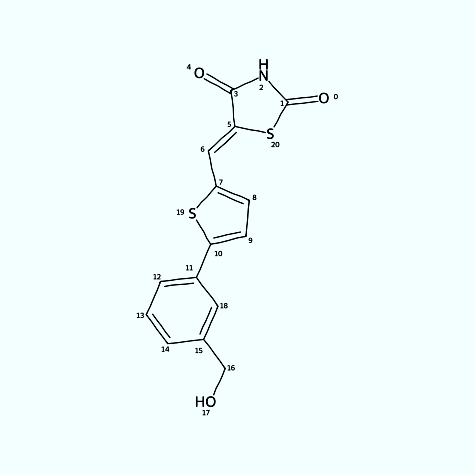 O=C1NC(=O)C(=Cc2ccc(-c3cccc(CO)c3)s2)S1